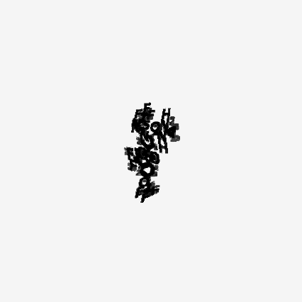 NC1(NC(=O)[C@@H]2C[C@@H](S(=O)(=O)c3ccc(OCC(F)(F)F)cc3C(F)(F)F)CN2c2nnc(C(F)(F)F)s2)CC1